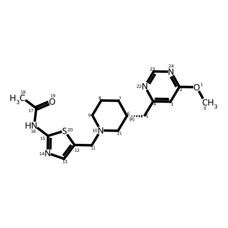 COc1cc(C[C@H]2CCCN(Cc3cnc(NC(C)=O)s3)C2)ncn1